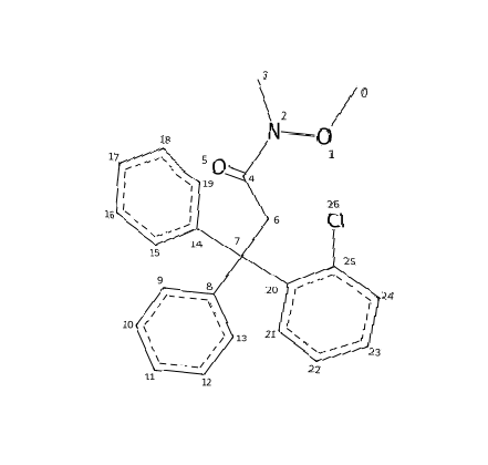 CON(C)C(=O)CC(c1ccccc1)(c1ccccc1)c1ccccc1Cl